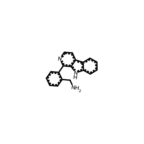 NCc1ccccc1-c1nccc2c1[nH]c1ccccc12